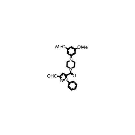 COc1cc(OC)cc(N2CCN(C(=O)c3cc(C=O)nn3-c3ccccc3)CC2)c1